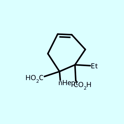 CCCCCCCC1(C(=O)O)CC=CCC1(CC)C(=O)O